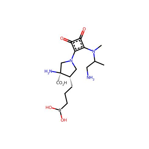 CC(CN)N(C)c1c(N2C[C@H](CCCB(O)O)[C@](N)(C(=O)O)C2)c(=O)c1=O